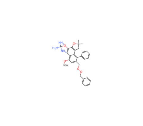 CCCCOc1cc(COOCc2ccccc2)c(-c2ccccc2)c2c3c(c(OC(N)(N)N)cc12)OC(C)(C)C3